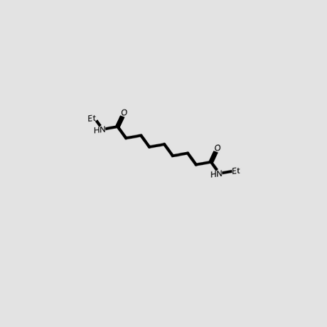 CCNC(=O)CCCCCCCC(=O)NCC